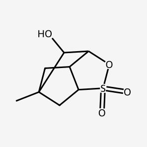 CC12CC3C(OS(=O)(=O)C3C1)C2O